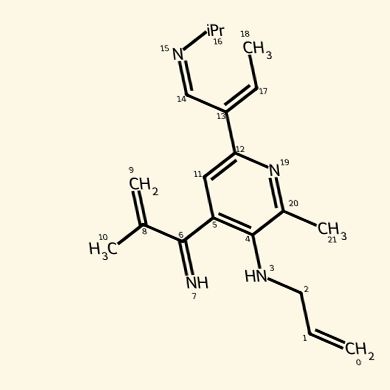 C=CCNc1c(C(=N)C(=C)C)cc(C(/C=N\C(C)C)=C/C)nc1C